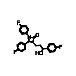 O=C1[C@H](CCC(O)c2ccc(F)cc2)C(c2ccc(I)cc2)N1c1ccc(F)cc1